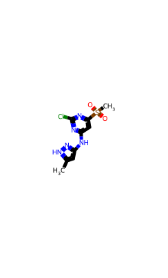 Cc1cc(Nc2cc(S(C)(=O)=O)nc(Cl)n2)n[nH]1